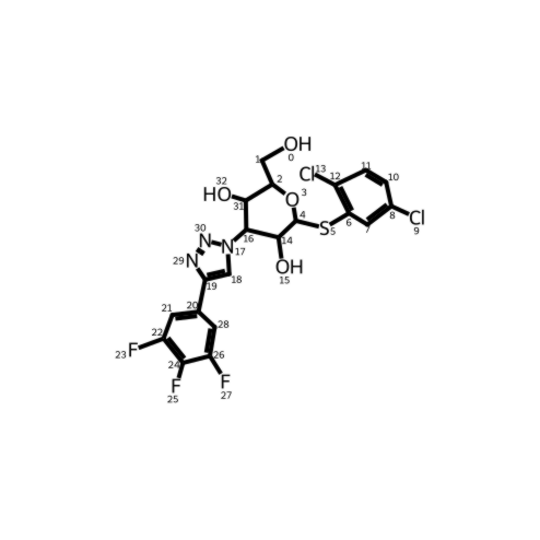 OCC1OC(Sc2cc(Cl)ccc2Cl)C(O)C(n2cc(-c3cc(F)c(F)c(F)c3)nn2)C1O